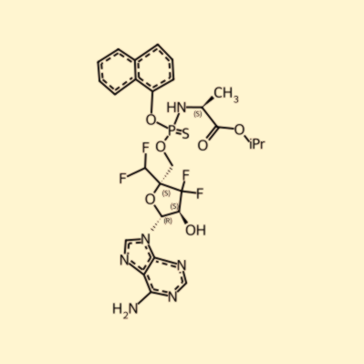 CC(C)OC(=O)[C@H](C)NP(=S)(OC[C@@]1(C(F)F)O[C@@H](n2cnc3c(N)ncnc32)[C@H](O)C1(F)F)Oc1cccc2ccccc12